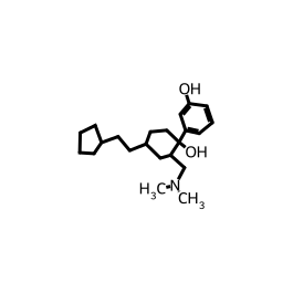 CN(C)CC1CC(CCC2CCCC2)CCC1(O)c1cccc(O)c1